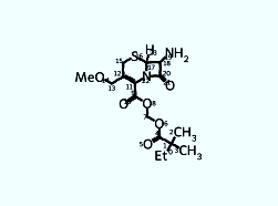 CCC(C)(C)C(=O)OCOC(=O)C1=C(COC)CS[C@@H]2C(N)C(=O)N12